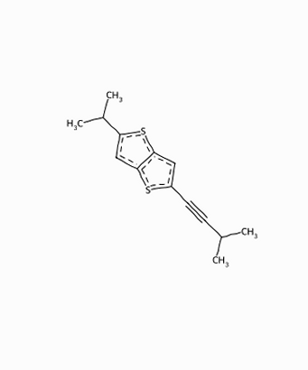 CC(C)C#Cc1cc2sc(C(C)C)cc2s1